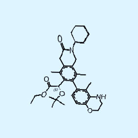 CCOC(=O)[C@@H](OC(C)(C)C)c1c(C)c2c(c(C)c1-c1ccc3c(c1C)NCCO3)CN(C1CCCCC1)C(=O)C2